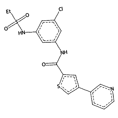 CCS(=O)(=O)Nc1cc(Cl)cc(NC(=O)c2cc(-c3cccnc3)cs2)c1